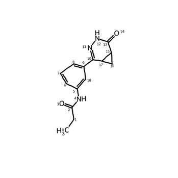 CCC(=O)Nc1cccc(C2=NNC(=O)C3CC23)c1